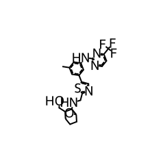 Cc1cc(Nc2nccc(C(F)(F)F)n2)cc(-c2cnc(CNC3C4CCC(O4)C3CO)s2)c1